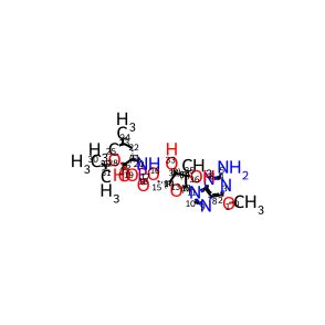 COc1nc(N)nc2c1ncn2[C@@H]1O[C@H](COP(=O)(O)N[C@@H](CC(C)C)C(=O)OC(C)C)[C@@H](O)[C@@]1(C)O